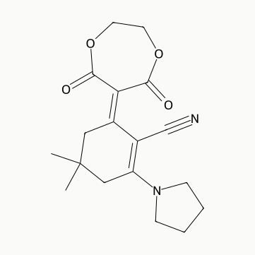 CC1(C)CC(=C2C(=O)OCCOC2=O)C(C#N)=C(N2CCCC2)C1